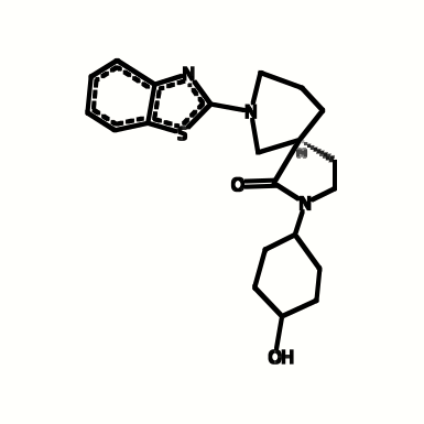 O=C1N(C2CCC(O)CC2)CC[C@]12CCCN(c1nc3ccccc3s1)C2